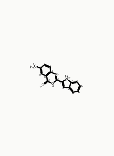 Cc1ccc2nc(-c3cc4ccccc4[nH]3)oc(=O)c2c1